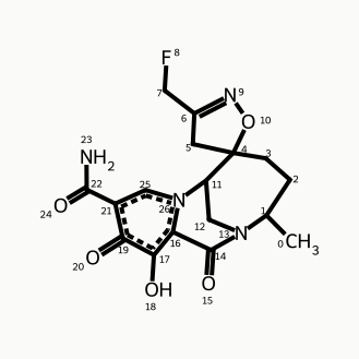 CC1CCC2(CC(CF)=NO2)C2CN1C(=O)c1c(O)c(=O)c(C(N)=O)cn12